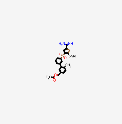 CSc1sc(C(=N)N)cc1S(=O)(=O)c1cccc(-c2cc(COC(=O)C(F)(F)F)ccc2C)c1